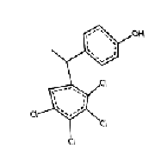 CC(c1ccc(O)cc1)c1cc(Cl)c(Cl)c(Cl)c1Cl